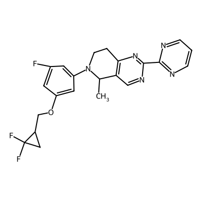 CC1c2cnc(-c3ncccn3)nc2CCN1c1cc(F)cc(OCC2CC2(F)F)c1